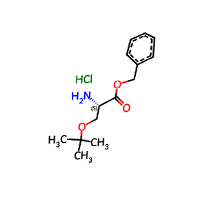 CC(C)(C)OC[C@H](N)C(=O)OCc1ccccc1.Cl